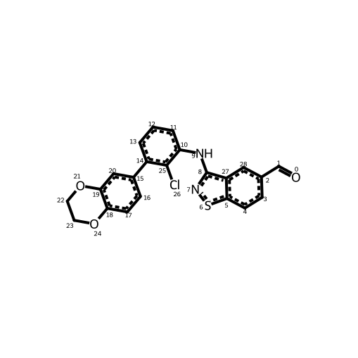 O=Cc1ccc2snc(Nc3cccc(-c4ccc5c(c4)OCCO5)c3Cl)c2c1